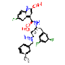 CCc1cccc(CNC[C@H](O)[C@H](Cc2cc(F)cc(F)c2)NC(=O)c2cc(O)nc3ccc(F)cc23)c1